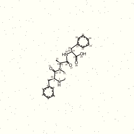 CN[C@@H](Cc1ccccc1)C(=O)N(C)[C@@H](C)C(=O)N[C@@H](Cc1ccccc1)C(=O)O